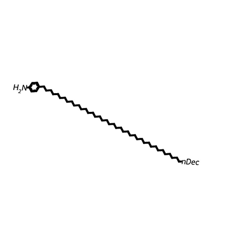 CCCCCCCCCCCCCCCCCCCCCCCCCCCCCCCCCCCCCCCCCCCCCCCCCCc1ccc(N)cc1